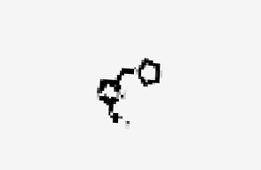 Nc1nc(CN2CCCC2)cs1